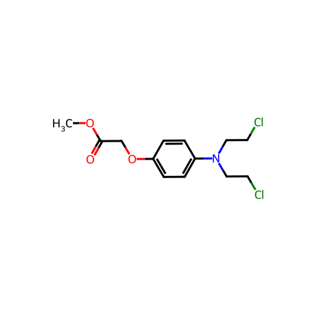 COC(=O)COc1ccc(N(CCCl)CCCl)cc1